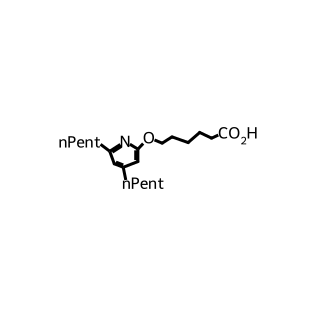 CCCCCc1cc(CCCCC)nc(OCCCCCC(=O)O)c1